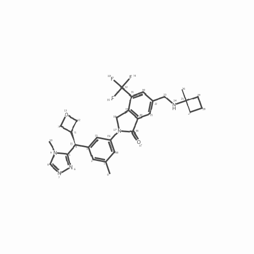 Cc1cc([C@@H](c2nncn2C)C2COC2)cc(N2Cc3c(cc(CNC4(C)CCC4)cc3C(F)(F)F)C2=O)c1